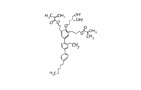 C=C(C)C(=O)OCCCc1cc(-c2ccc(-c3ccc(CCCCCC)cc3)cc2CC)cc(CCCOC(=O)C(=C)C)c1OCCC(CO)CO